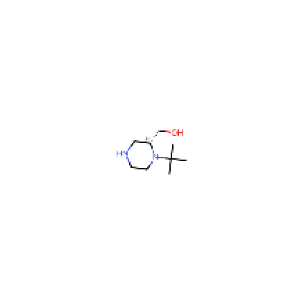 CC(C)(C)N1CCNC[C@@H]1CO